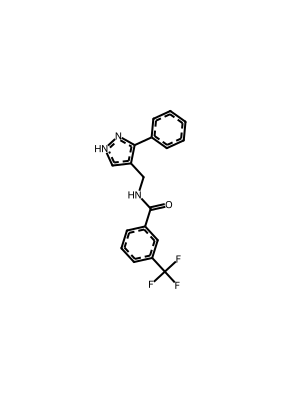 O=C(NCc1c[nH]nc1-c1ccccc1)c1cccc(C(F)(F)F)c1